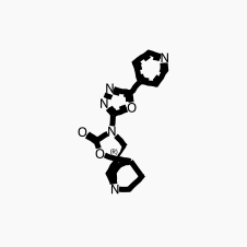 O=C1O[C@]2(CN3CCC2CC3)CN1c1nnc(-c2ccncc2)o1